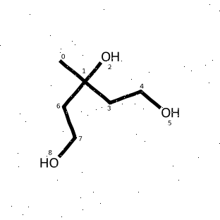 CC(O)(CCO)CCO